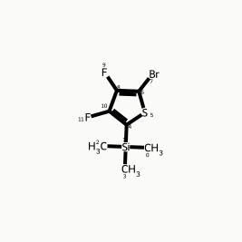 C[Si](C)(C)c1sc(Br)c(F)c1F